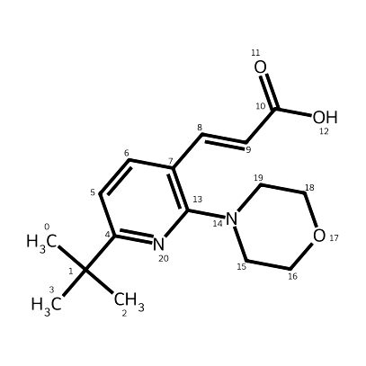 CC(C)(C)c1ccc(C=CC(=O)O)c(N2CCOCC2)n1